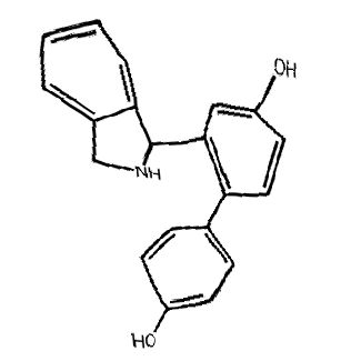 Oc1ccc(-c2ccc(O)cc2C2NCc3ccccc32)cc1